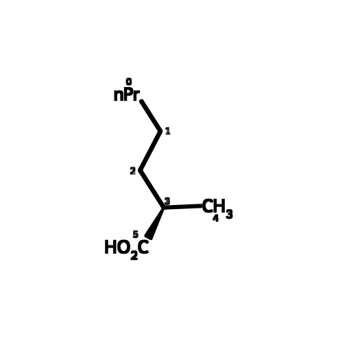 CCCCC[C@@H](C)C(=O)O